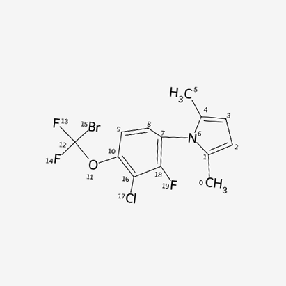 Cc1ccc(C)n1-c1ccc(OC(F)(F)Br)c(Cl)c1F